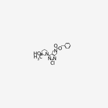 C[C@@]1(O)CCCN(c2nc(Cl)nc3c2CN(C(=O)OCc2ccccc2)C3)C1